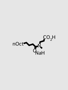 CCCCCCCCCCCC(=O)N(C)CCC(=O)O.[NaH]